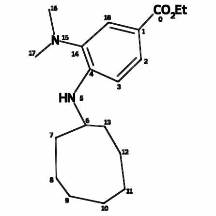 CCOC(=O)c1ccc(NC2CCCCCCC2)c(N(C)C)c1